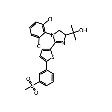 CC(C)(O)C1CN(c2c(Cl)cccc2Cl)C(c2ccc(-c3cccc(S(C)(=O)=O)c3)s2)=N1